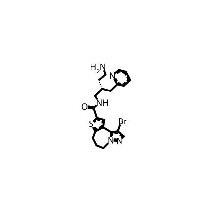 NCC[C@@H](CNC(=O)c1cc2c(s1)CCCn1ncc(Br)c1-2)Cc1ccccn1